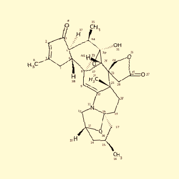 CC1=CC(=O)[C@@H]2[C@@H](C1)[C@]13C=C4N5C[C@H]6C[C@H](C)C[C@]5(CC[C@@]4(C)[C@]4(COC(=O)C4)[C@H]1[C@@](O)(OC3)[C@@H]2C)O6